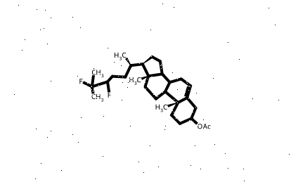 CC(=O)OC1CC[C@@]2(C)C(=CCC3C2CC[C@@]2(C)C3CC[C@@H]2[C@H](C)CCC(F)C(C)(C)F)C1